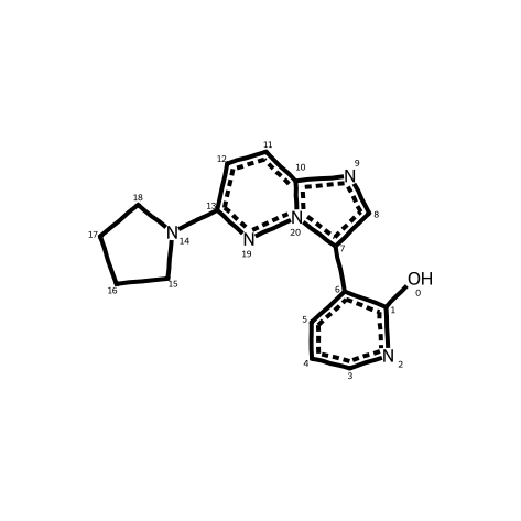 Oc1ncccc1-c1cnc2ccc(N3CCCC3)nn12